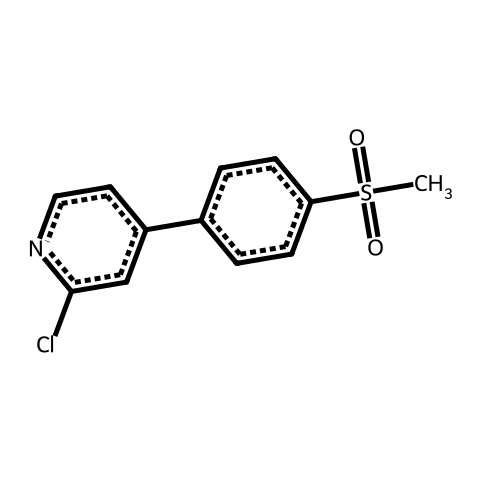 CS(=O)(=O)c1ccc(-c2ccnc(Cl)c2)cc1